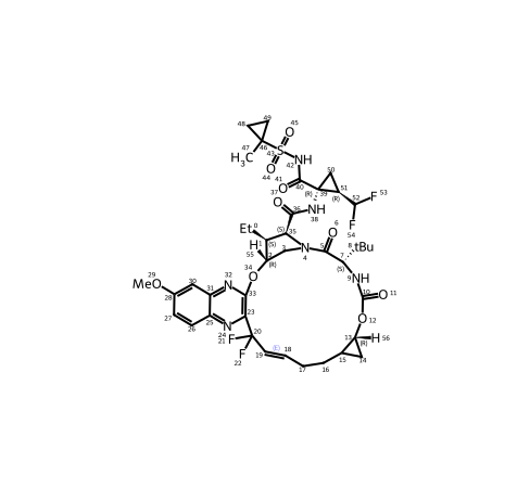 CC[C@@H]1[C@@H]2CN(C(=O)[C@H](C(C)(C)C)NC(=O)O[C@@H]3CC3CC/C=C/C(F)(F)c3nc4ccc(OC)cc4nc3O2)[C@@H]1C(=O)N[C@]1(C(=O)NS(=O)(=O)C2(C)CC2)C[C@H]1C(F)F